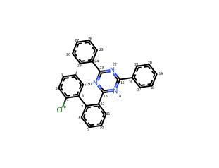 Clc1ccccc1-c1ccccc1-c1nc(-c2ccccc2)nc(-c2ccccc2)n1